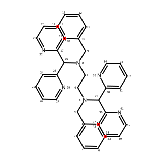 c1ccc(CN(CCN(Cc2ccccn2)C(c2ccccn2)c2ccccn2)C(c2ccccn2)c2ccccn2)nc1